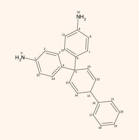 Nc1ccc(C2(c3ccc(N)cc3)C=CC(c3ccccc3)C=C2)cc1